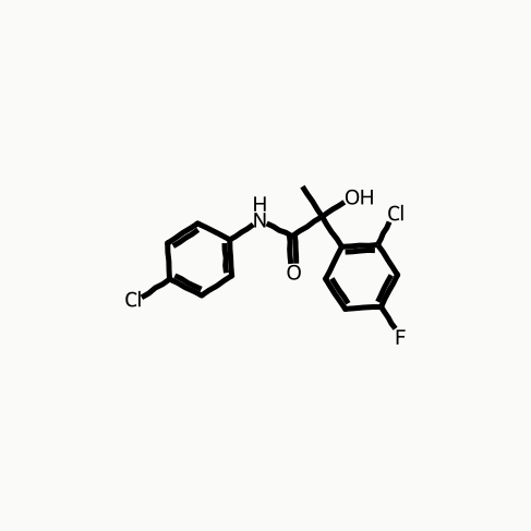 CC(O)(C(=O)Nc1ccc(Cl)cc1)c1ccc(F)cc1Cl